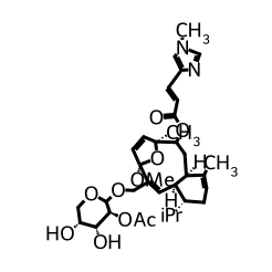 CO[C@]12C=C[C@](C)(O1)C(OC(=O)/C=C/c1cn(C)cn1)C[C@H]1C(C)=CC[C@H](C(C)C)[C@H]1/C=C\2COC1OC[C@@H](O)[C@@H](O)[C@@H]1OC(C)=O